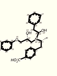 C[C@H](Cc1ccc(C(=O)O)cc1)N(C[C@@H](O)COc1ccccc1)[C@H](O)Cc1ccccc1